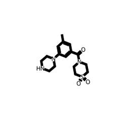 Cc1cc(C(=O)N2CCS(=O)(=O)CC2)cc(N2CCNCC2)c1